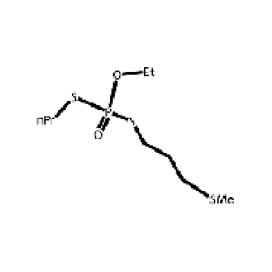 CCCSP(=O)(OCC)SCCCSC